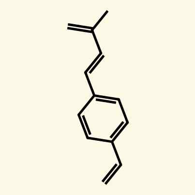 C=Cc1ccc(C=CC(=C)C)cc1